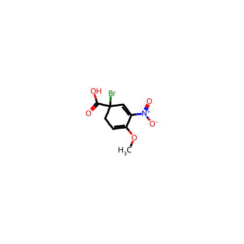 COC1=CCC(Br)(C(=O)O)C=C1[N+](=O)[O-]